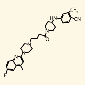 Cc1cc(N2CCN(CCCC(=O)N3CCC(Nc4ccc(C#N)c(C(F)(F)F)c4)CC3)CC2)nc2ccc(F)cc12